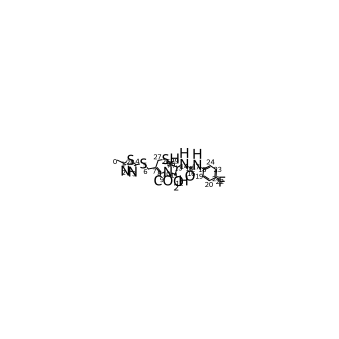 Cc1nnc(SCC2=C(C(=O)O)N3C(=O)C(NC(=O)Nc4ccc(F)cc4)[C@@H]3SC2)s1